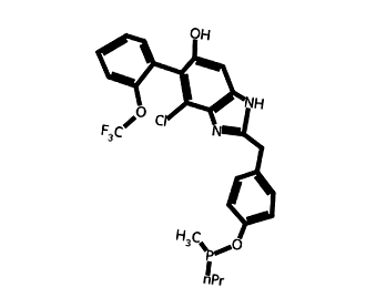 CCCP(C)Oc1ccc(Cc2nc3c(Cl)c(-c4ccccc4OC(F)(F)F)c(O)cc3[nH]2)cc1